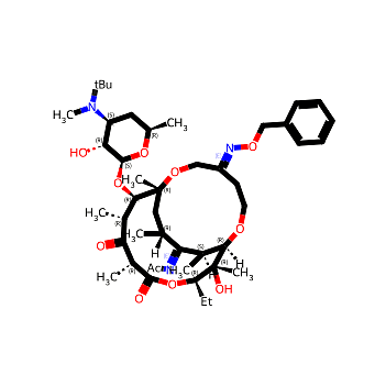 CC[C@H]1OC(=O)[C@H](C)C(=O)[C@H](C)[C@@H](O[C@@H]2O[C@H](C)C[C@H](N(C)C(C)(C)C)[C@H]2O)[C@@]2(C)C[C@@H](C)/C(=N\C(C)=O)[C@H](C)[C@@H](OCC/C(=N\OCc3ccccc3)CO2)[C@]1(C)O